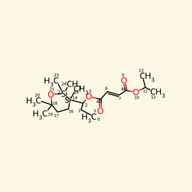 CCC(OC(=O)C=CC(=O)OC(C)C)[Si]1(C)CCC(C)(C)O[Si]1(C)C